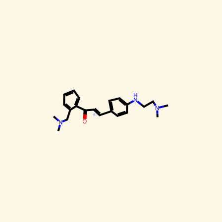 CN(C)CCNc1ccc(/C=C/C(=O)c2ccccc2CN(C)C)cc1